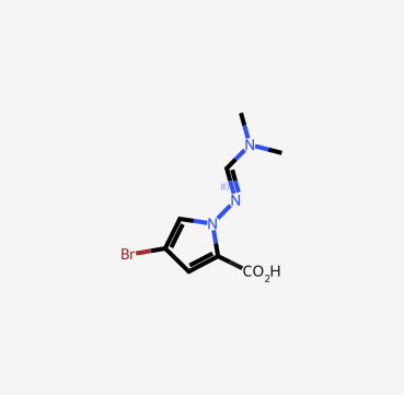 CN(C)/C=N/n1cc(Br)cc1C(=O)O